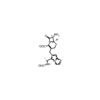 C[C@@H](NC=O)c1n(CC2=C(C(=O)[O-])N3C(=O)[C@@H](N)[C@H]3SC2)cc2scc[n+]12